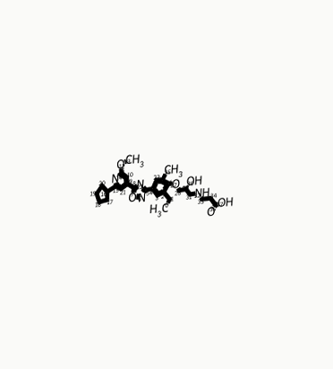 CCc1cc(-c2noc(-c3cc(OC)nc(C4CCCC4)c3)n2)cc(C)c1OC[C@@H](O)CNCCC(=O)O